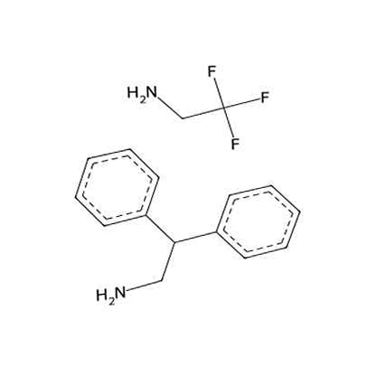 NCC(F)(F)F.NCC(c1ccccc1)c1ccccc1